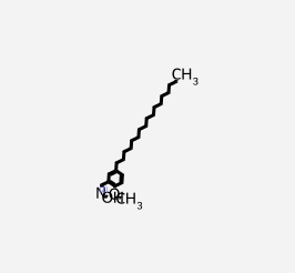 CCCCCCCCCCCCCCCCCc1ccc(OC)c(/C=N\O)c1